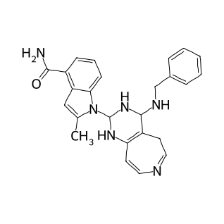 Cc1cc2c(C(N)=O)cccc2n1C1NC2=C(CC=NC=C2)C(NCc2ccccc2)N1